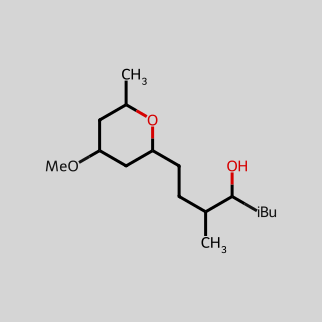 CCC(C)C(O)C(C)CCC1CC(OC)CC(C)O1